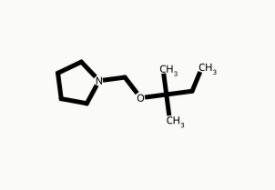 CCC(C)(C)OCN1CCCC1